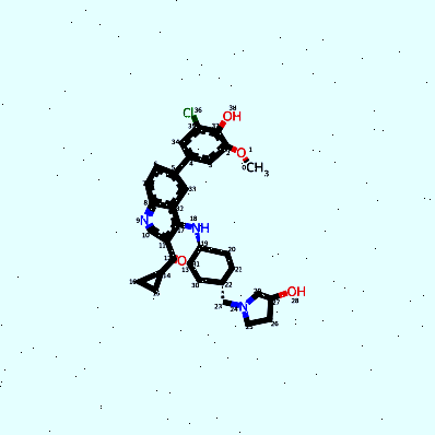 COc1cc(-c2ccc3ncc(C(=O)C4CC4)c(N[C@H]4CC[C@H](CN5CCC(O)C5)CC4)c3c2)cc(Cl)c1O